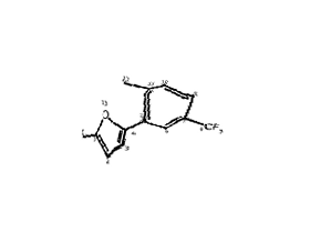 Cc1ccc(-c2cc(C(F)(F)F)ccc2C)o1